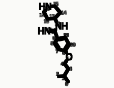 CC(C)CCOc1ccc(C(=N)NC2CCNCC2)cc1